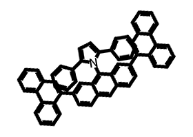 c1ccc(-c2ccc(-c3ccccc3)n2-c2c3cc(-c4cc5ccccc5c5ccccc45)ccc3cc3ccc(-c4cc5ccccc5c5ccccc45)cc23)cc1